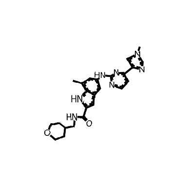 Cc1cc(Nc2nccc(-c3cn(C)cn3)n2)cc2cc(C(=O)NCC3CCOCC3)[nH]c12